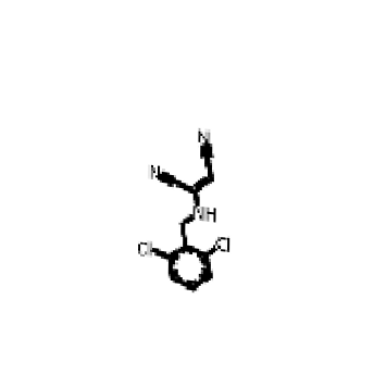 N#CC=C(C#N)NCc1c(Cl)cccc1Cl